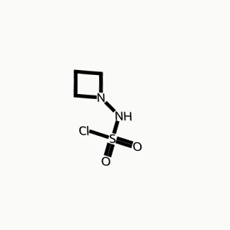 O=S(=O)(Cl)NN1CCC1